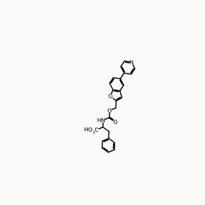 O=C(NC(Cc1ccccc1)C(=O)O)OCc1cc2cc(-c3ccncc3)ccc2o1